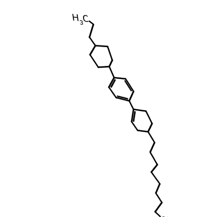 CCCCCCCCCC1CC=C(c2ccc(C3CCC(CCC)CC3)cc2)CC1